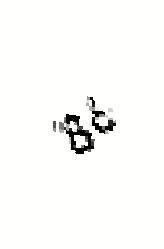 O=C1C=CCO1.c1ccc2[nH]ccc2c1